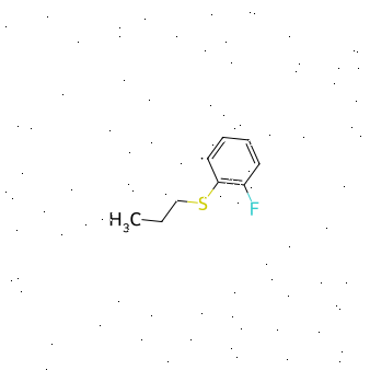 CCCSc1[c]cccc1F